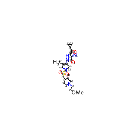 COCCN1CCC(CS(=O)(=O)N2CC[C@@H](NC(=O)c3cc(C4CC4)on3)[C@@H](C)C2)CC1